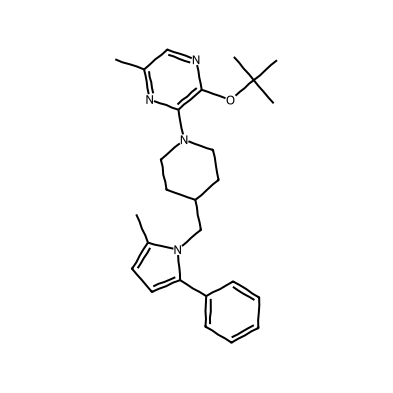 Cc1cnc(OC(C)(C)C)c(N2CCC(Cn3c(C)ccc3-c3ccccc3)CC2)n1